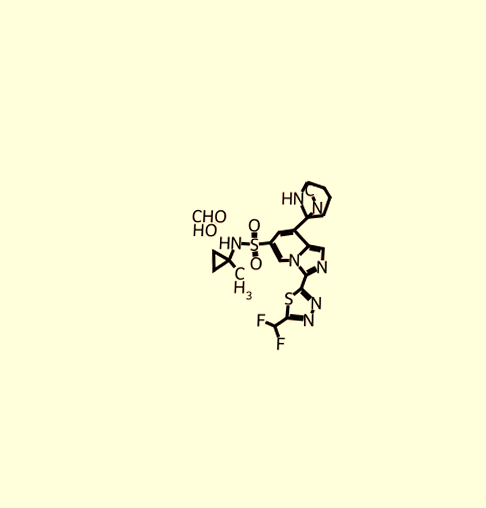 CC1(NS(=O)(=O)c2cc(N3CC4CCC3CN4)c3cnc(-c4nnc(C(F)F)s4)n3c2)CC1.O=CO